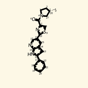 C[C@H]1CCN(C(=O)c2csc(-c3cnc4[nH]c(-c5ccccc5)cc4c3)n2)C1